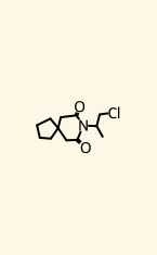 CC(CCl)N1C(=O)CC2(CCCC2)CC1=O